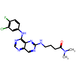 CN(C)C(=O)CCCNc1ncc2ncnc(Nc3ccc(F)c(Cl)c3)c2n1